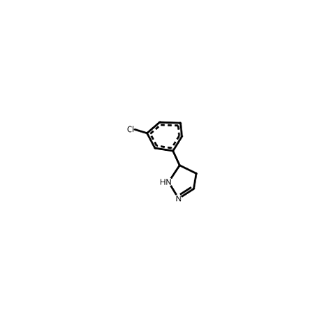 Clc1cccc(C2CC=NN2)c1